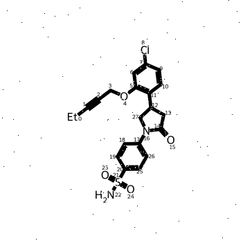 CCC#CCOc1cc(Cl)ccc1C1CC(=O)N(c2ccc(S(N)(=O)=O)cc2)C1